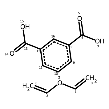 C=COC=C.O=C(O)c1cccc(C(=O)O)c1